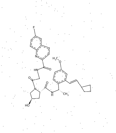 COc1ccc([C@H](C)NC(=O)[C@@H]2C[C@@H](O)CN2C(=O)CNC(=O)c2ccc3cc(F)ccc3n2)c(/C=C/C2CCC2)c1